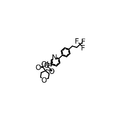 O=C(O)C1(S(=O)(=O)c2ccc(-c3ccc(CCC(F)(F)F)cc3)nc2)CCOCC1